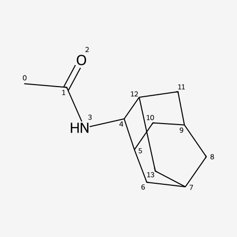 CC(=O)NC1C2CC3CC(C2)CC1C3